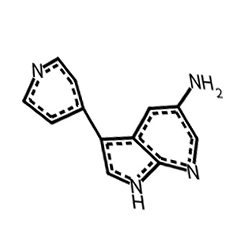 Nc1cnc2[nH]cc(-c3ccncc3)c2c1